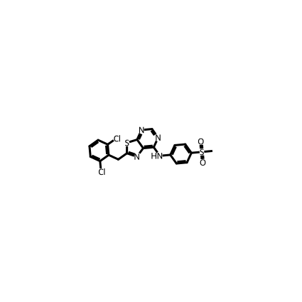 CS(=O)(=O)c1ccc(Nc2ncnc3sc(Cc4c(Cl)cccc4Cl)nc23)cc1